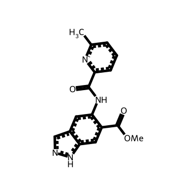 COC(=O)c1cc2[nH]ncc2cc1NC(=O)c1cccc(C)n1